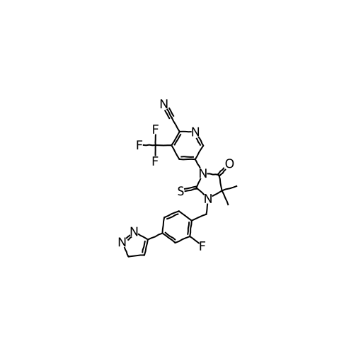 CC1(C)C(=O)N(c2cnc(C#N)c(C(F)(F)F)c2)C(=S)N1Cc1ccc(C2=CCN=N2)cc1F